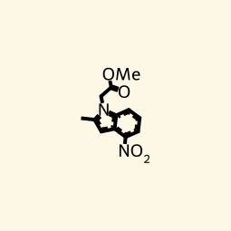 COC(=O)Cn1c(C)cc2c([N+](=O)[O-])cccc21